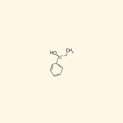 CC[C@H](O)c1ccccc1